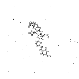 COC(=O)c1ccc2nc(CN3CCN(c4cncc(OCc5ccc(C#N)cc5F)n4)C[C@@H]3C)n(C[C@@H]3CCO3)c2c1